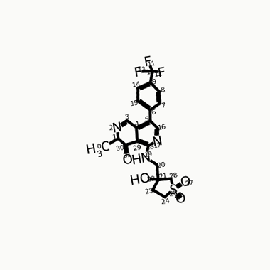 CC1N=Cc2c(-c3ccc(C(F)(F)F)cc3)cnc(NCC3(O)CCS(=O)(=O)C3)c2C1=O